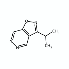 CC(C)c1noc2cnncc12